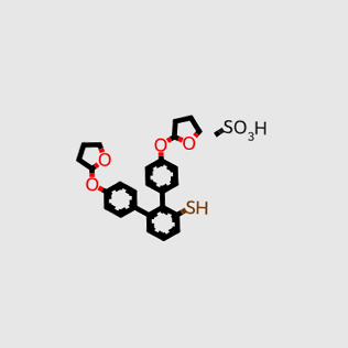 CS(=O)(=O)O.Sc1cccc(-c2ccc(OC3CCCO3)cc2)c1-c1ccc(OC2CCCO2)cc1